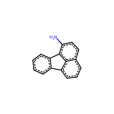 Nc1ccc2cccc3c2c1-c1ccccc1-3